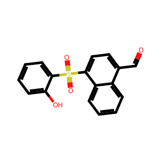 O=Cc1ccc(S(=O)(=O)c2ccccc2O)c2ccccc12